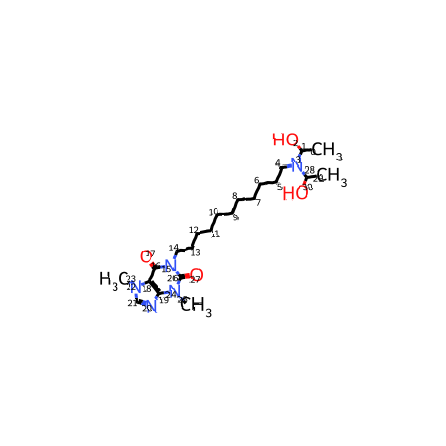 CC(O)N(CCCCCCCCCCCn1c(=O)c2c(ncn2C)n(C)c1=O)C(C)O